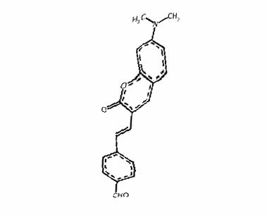 CN(C)c1ccc2cc(C=Cc3ccc(C=O)cc3)c(=O)oc2c1